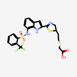 O=C(O)CSCCC1CN=C(c2cc3cccc(NS(=O)(=O)c4ccccc4C(F)(F)F)c3[nH]2)S1